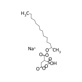 CCCCCCCCCCCCC(C)OOC(=O)C(CC(=O)[O-])S(=O)(=O)O.[Na+]